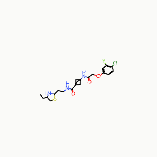 CCC1CSC(CCNC(=O)C23CC(NC(=O)COc4ccc(Cl)c(F)c4)(C2)C3)N1